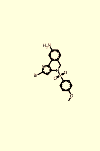 COc1ccc(S(=O)(=O)N2Cc3ccc(N)cc3-c3sc(Br)cc32)cc1